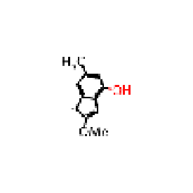 COC1=Cc2c(O)cc(C)cc2[CH]1